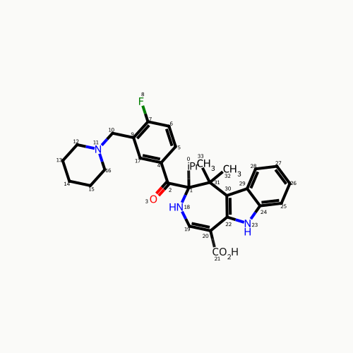 CC(C)C1(C(=O)c2ccc(F)c(CN3CCCCC3)c2)NC=C(C(=O)O)c2[nH]c3ccccc3c2C1(C)C